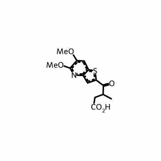 COc1cc2sc(C(=O)C(C)CC(=O)O)cc2nc1OC